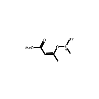 COC(=O)C=C(C)O[SiH](C)C(C)C